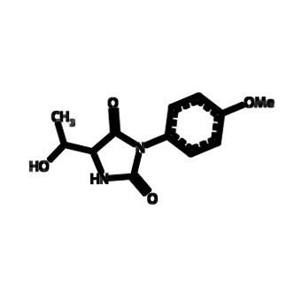 COc1ccc(N2C(=O)NC(C(C)O)C2=O)cc1